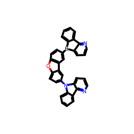 c1ccc2c(c1)B(c1ccc3oc4ccc(-n5c6ccccc6c6ncccc65)cc4c3c1)c1cccnc1-2